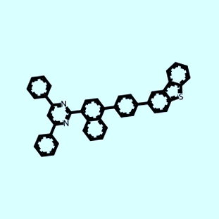 c1ccc(-c2cc(-c3ccccc3)nc(-c3ccc(-c4ccc(-c5ccc6sc7ccccc7c6c5)cc4)c4ccccc34)n2)cc1